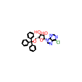 OC1C(O)[C@@H](COC(c2ccccc2)(c2ccccc2)c2ccccc2)O[C@H]1n1cnc2c(Cl)ncnc21